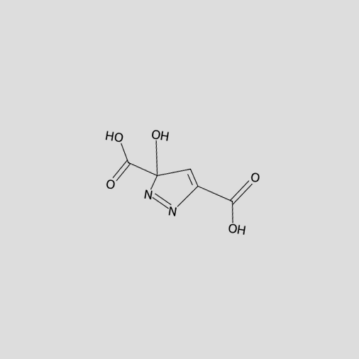 O=C(O)C1=CC(O)(C(=O)O)N=N1